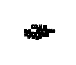 COC(=O)c1c(C(=O)O)cc2cc(Cc3ccc(F)cc3)cnc2c1O